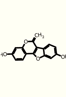 C=C1Oc2cc(O)ccc2-c2oc3cc(O)ccc3c21